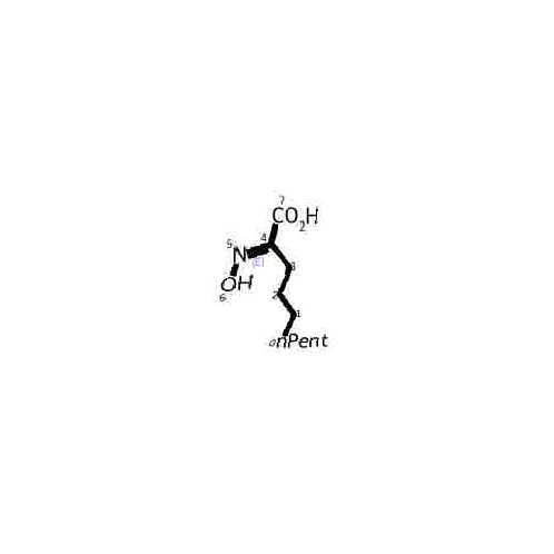 CCCCCCCC/C(=N\O)C(=O)O